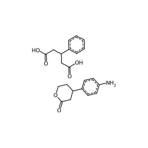 Nc1ccc(C2CCOC(=O)C2)cc1.O=C(O)CC(CC(=O)O)c1ccccc1